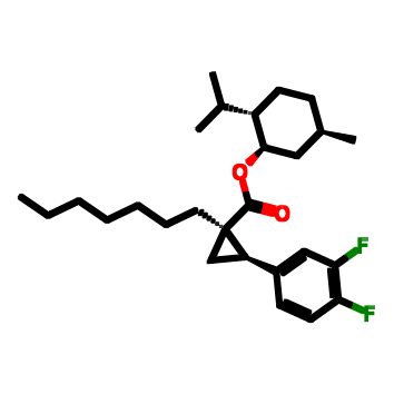 CCCCCCC[C@@]1(C(=O)O[C@@H]2C[C@H](C)CC[C@H]2C(C)C)C[C@@H]1c1ccc(F)c(F)c1